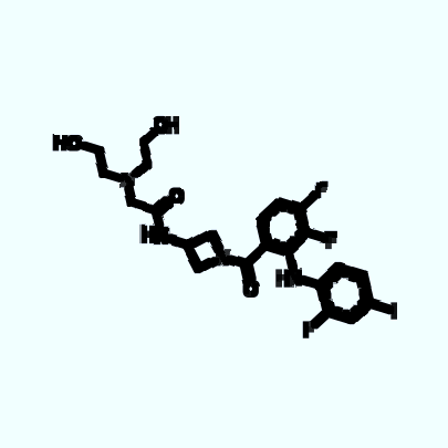 O=C(CN(CCO)CCO)NC1CN(C(=O)c2ccc(F)c(F)c2Nc2ccc(I)cc2F)C1